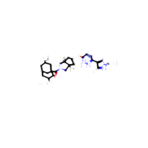 Cc1nn(C)cc1C(=N)/C=C\C(=N)O[C@@H]1C[C@@H]2CN(C(=O)C34CC(C)CC(CC(C)C3)C4)C[C@@H]2C1